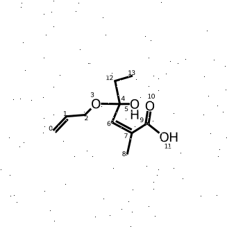 C=CCOC(O)(C=C(C)C(=O)O)CC